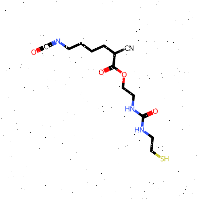 N#CC(CCCCN=C=O)C(=O)OCCNC(=O)NCCS